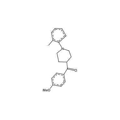 [CH2]c1ccccc1N1CCC(C(=O)c2ccc(OC)cc2)CC1